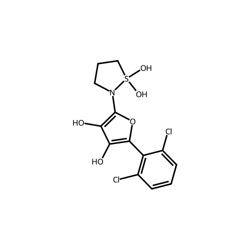 Oc1c(-c2c(Cl)cccc2Cl)oc(N2CCCS2(O)O)c1O